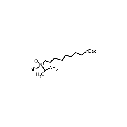 CCCCCCCCCCCCCCCCCC[N+]([O-])(CCC)C(C)N